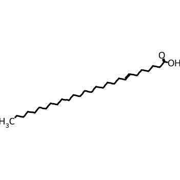 CCCCCCCCCCCCCCCCCCCCC=CCCCCCC(=O)O